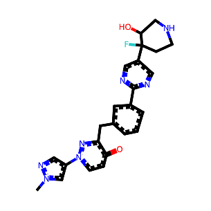 Cn1cc(-n2ccc(=O)c(Cc3cccc(-c4ncc(C5(F)CCNCC5O)cn4)c3)n2)cn1